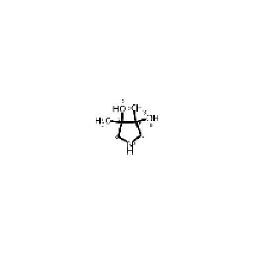 CC1(O)CNCC1(C)O